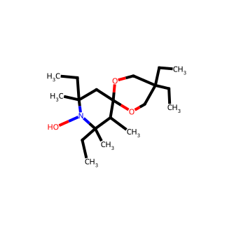 CCC1(CC)COC2(CC(C)(CC)N(O)C(C)(CC)C2C)OC1